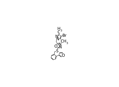 Cc1nn(Cc2nnc(SCc3ccccc3-c3ccoc3)o2)c(C)c1Br